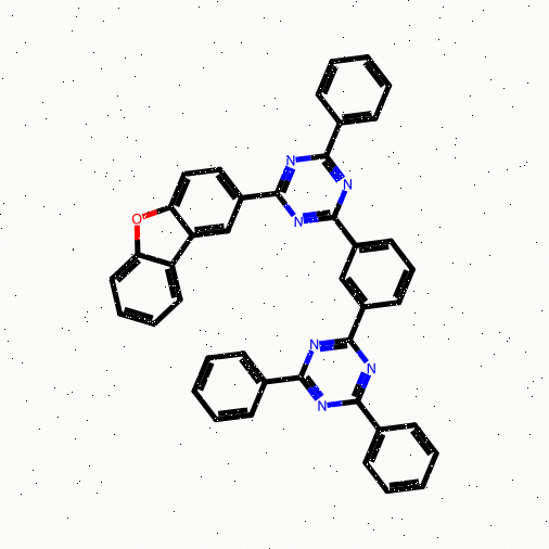 c1ccc(-c2nc(-c3ccccc3)nc(-c3cccc(-c4nc(-c5ccccc5)nc(-c5ccc6oc7ccccc7c6c5)n4)c3)n2)cc1